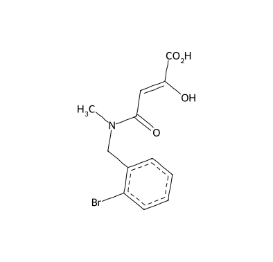 CN(Cc1ccccc1Br)C(=O)/C=C(\O)C(=O)O